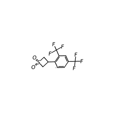 O=S1(=O)CC(c2[c]cc(C(F)(F)F)cc2C(F)(F)F)C1